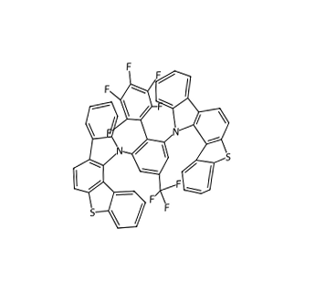 Fc1c(F)c(F)c(-c2c(-n3c4ccccc4c4ccc5sc6ccccc6c5c43)cc(C(F)(F)F)cc2-n2c3ccccc3c3ccc4sc5ccccc5c4c32)c(F)c1F